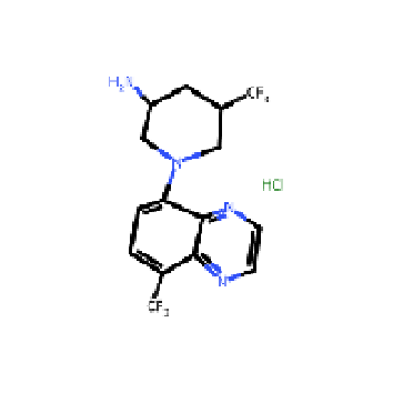 Cl.NC1CC(C(F)(F)F)CN(c2ccc(C(F)(F)F)c3nccnc23)C1